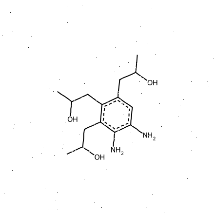 CC(O)Cc1cc(N)c(N)c(CC(C)O)c1CC(C)O